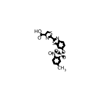 Cc1ccc([N+](=O)[O-])c(S(=O)(=O)Oc2ccc3nc(C4=NC(C(=O)O)CS4)sc3c2)c1